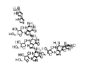 Nc1nc2c(ncn2[C@@H]2O[C@H](CO)[C@@H](O)[C@H]2O)c(=O)[nH]1.Nc1nc2c(ncn2[C@@H]2O[C@H](CO)[C@@H](O)[C@H]2O)c(=O)[nH]1.Nc1nc2c(ncn2[C@@H]2O[C@H](CO)[C@@H](O)[C@H]2O)c(=O)[nH]1.Nc1nc2c(ncn2[C@@H]2O[C@H](CO)[C@@H](O)[C@H]2O)c(=O)[nH]1.O.O.O.O.c1c[nH]cn1.c1c[nH]cn1.c1c[nH]cn1